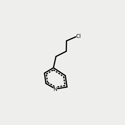 ClCCCc1ccncc1